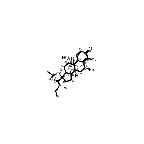 CCOC(=S)[C@@]1(OC(C)=O)[C@@H](C)C[C@H]2[C@@H]3C[C@H](F)C4=C(F)C(=O)C=C[C@]4(C)[C@H]3[C@@H](O)C[C@@]21C